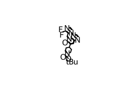 CC(C)(C)OC(=O)N1CCC(c2cc3nccnc3n(Cc3nccnc3C(F)F)c2=O)CC1